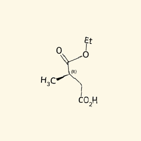 CCOC(=O)[C@H](C)CC(=O)O